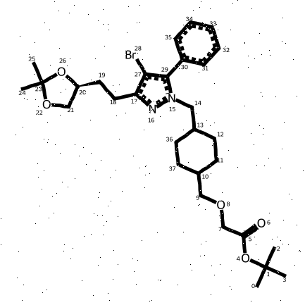 CC(C)(C)OC(=O)COCC1CCC(Cn2nc(CC[C@H]3COC(C)(C)O3)c(Br)c2-c2ccccc2)CC1